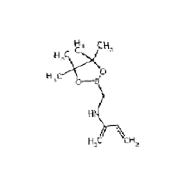 C=CC(=C)NCB1OC(C)(C)C(C)(C)O1